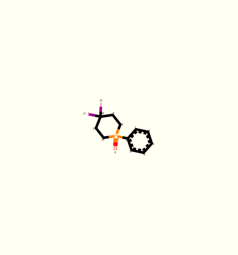 O=P1(c2ccccc2)CCC(I)(I)CC1